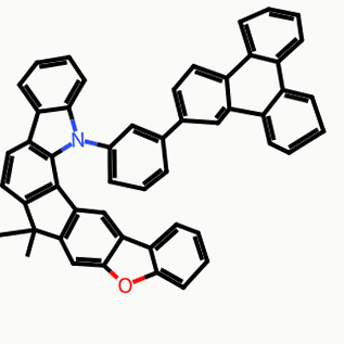 CC1(C)c2cc3oc4ccccc4c3cc2-c2c1ccc1c3ccccc3n(-c3cccc(-c4ccc5c6ccccc6c6ccccc6c5c4)c3)c21